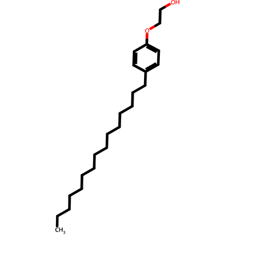 CCCCCCCCCCCCCCCc1ccc(OCCO)cc1